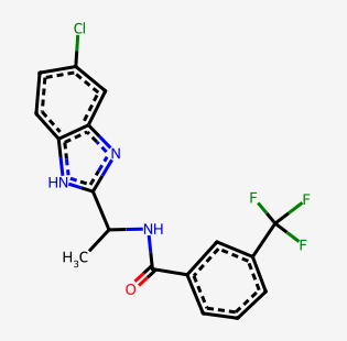 CC(NC(=O)c1cccc(C(F)(F)F)c1)c1nc2cc(Cl)ccc2[nH]1